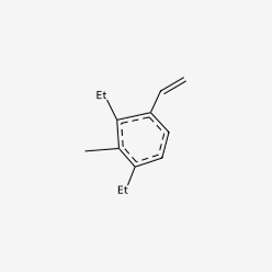 C=Cc1ccc(CC)c(C)c1CC